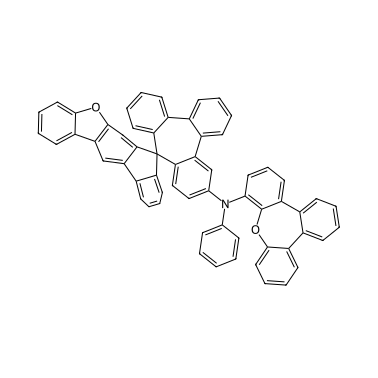 c1ccc(N(c2ccc3c(c2)-c2ccccc2-c2ccccc2C32c3ccccc3-c3cc4c(cc32)oc2ccccc24)c2cccc3c2Oc2ccccc2-c2ccccc2-3)cc1